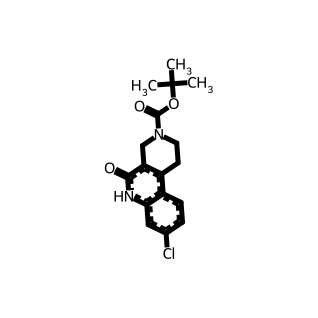 CC(C)(C)OC(=O)N1CCc2c(c(=O)[nH]c3cc(Cl)ccc23)C1